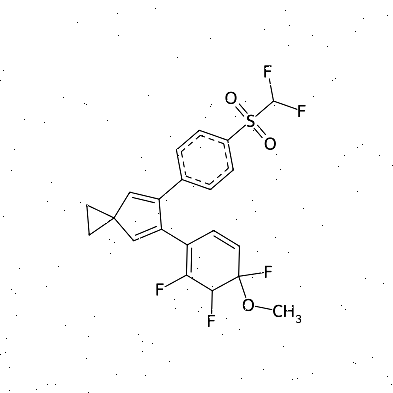 COC1(F)C=CC(C2=CC3(C=C2c2ccc(S(=O)(=O)C(F)F)cc2)CC3)=C(F)C1F